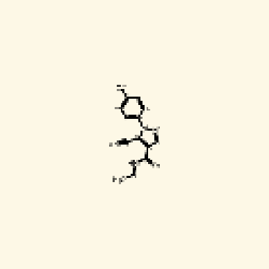 CCNC(=O)c1cnn(-c2ccc(Cl)cc2)c1C#N